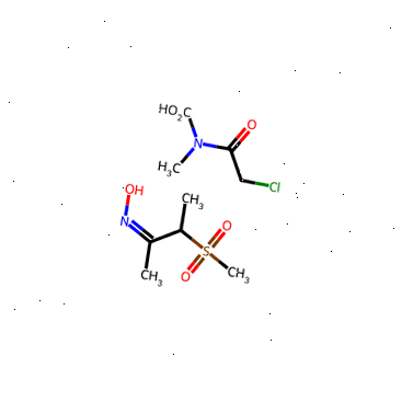 CC(=NO)C(C)S(C)(=O)=O.CN(C(=O)O)C(=O)CCl